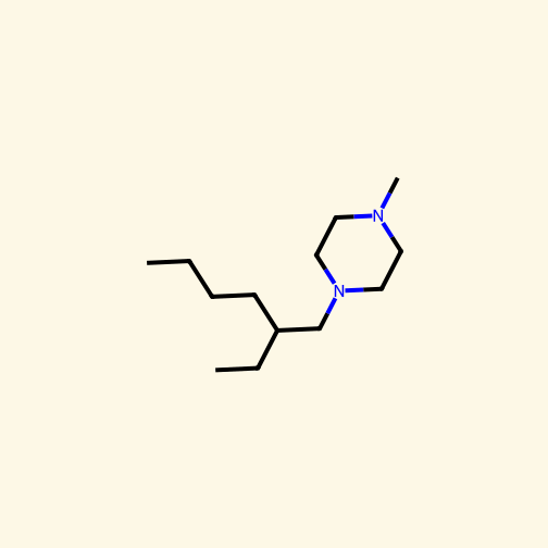 CCCCC(CC)CN1CCN(C)CC1